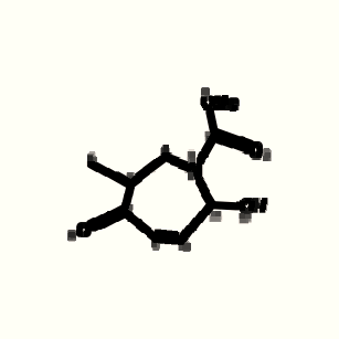 COC(=O)N1CC(C)C(=O)C=CC1O